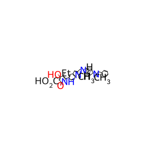 CCc1c(-c2ccc3c(c2)cc(CN2C[C@H]4CC(N(C)Cc5ccccc5)C[C@H]4C2)n3C)[nH]c(=O)c(C(=O)O)c1O